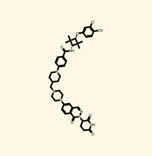 CC1(C)[C@H](NC(=O)c2ccc(N3CCC(CN4CCN(c5ccc6c(=O)n(C7CCC(=O)NC7=O)ncc6c5)CC4)CC3)cc2)C(C)(C)[C@H]1Oc1ccc(C#N)c(Cl)c1